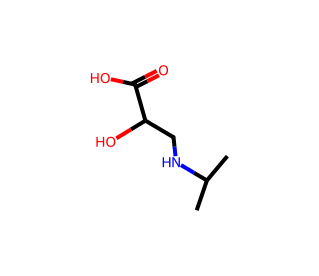 CC(C)NCC(O)C(=O)O